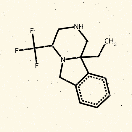 CCC12CNCC(C(F)(F)F)N1Cc1ccccc12